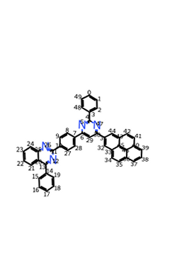 c1ccc(-c2nc(-c3ccc(-c4nc(-c5ccccc5)c5ccccc5n4)cc3)cc(-c3cc4ccc5cccc6ccc(c3)c4c56)n2)cc1